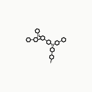 Fc1ccc(-c2ccc(N(c3ccc(-c4ccccc4)cc3)c3ccc(-c4ccc5c(c4)c4ccc(-c6ccccc6)cc4n5-c4ccccc4)cc3)cc2)cc1